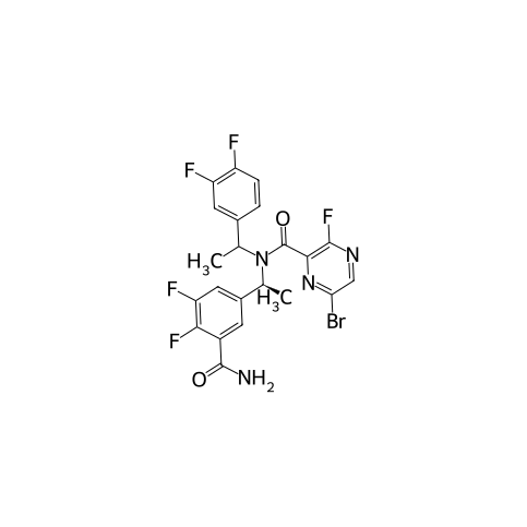 CC(c1ccc(F)c(F)c1)N(C(=O)c1nc(Br)cnc1F)[C@@H](C)c1cc(F)c(F)c(C(N)=O)c1